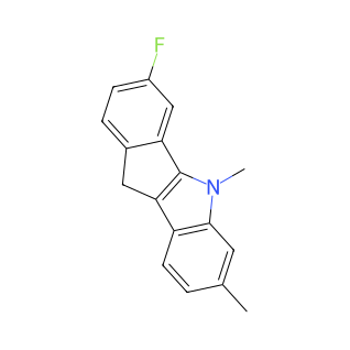 Cc1ccc2c3c(n(C)c2c1)-c1cc(F)ccc1C3